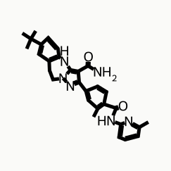 Cc1cccc(NC(=O)c2ccc(-c3nn4c(c3C(N)=O)Nc3ccc(C(C)(C)C)cc3CC4)cc2C)n1